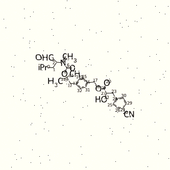 CC(C)CC(C=O)N(C)C(=O)OC(C)(C)Cc1ccc(COC(=O)C(O)Cc2ccc(C#N)cc2)cc1